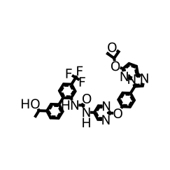 CC(O)c1cccc(-c2ccc(C(F)(F)F)cc2NC(=O)Nc2cnc(Oc3ccc(-c4cnc5ccc(OC6COC6)nn45)cc3)nc2)c1